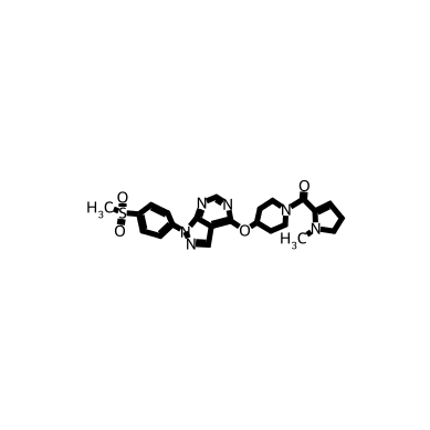 CN1CCC=C1C(=O)N1CCC(Oc2ncnc3c2cnn3-c2ccc(S(C)(=O)=O)cc2)CC1